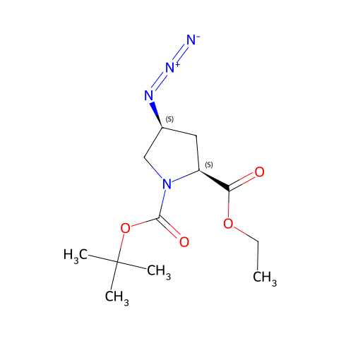 CCOC(=O)[C@@H]1C[C@H](N=[N+]=[N-])CN1C(=O)OC(C)(C)C